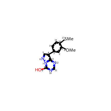 COc1cc(-c2cnn3c(O)ncnc23)ccc1SC